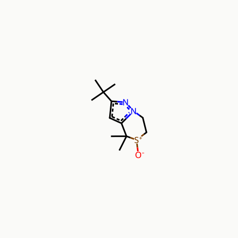 CC(C)(C)c1cc2n(n1)CC[S+]([O-])C2(C)C